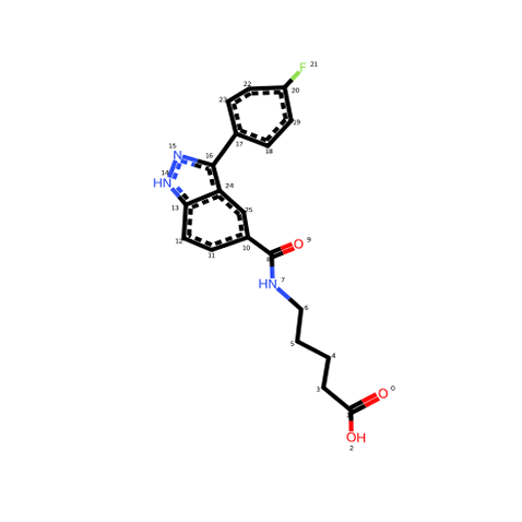 O=C(O)CCCCNC(=O)c1ccc2[nH]nc(-c3ccc(F)cc3)c2c1